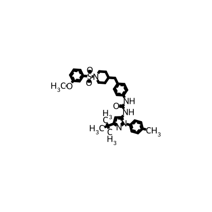 COc1cccc(S(=O)(=O)N2CCC(Cc3ccc(NC(=O)Nc4cc(C(C)(C)C)nn4-c4ccc(C)cc4)cc3)CC2)c1